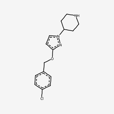 Clc1ccc(COc2ccn(C3CCNCC3)n2)cc1